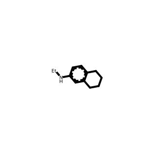 CCNc1ccc2c(c1)CCCC2